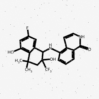 CC1(C)CC(O)(C(F)(F)F)C(Nc2cccc3c(=O)[nH]ccc23)c2cc(F)cc(O)c21